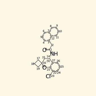 O=C(Cc1cccc2ccccc12)N[C@H]1CC2(CCC2)Oc2c(Cl)cccc21